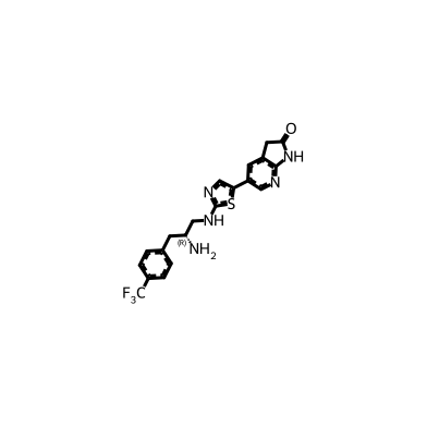 N[C@@H](CNc1ncc(-c2cnc3c(c2)CC(=O)N3)s1)Cc1ccc(C(F)(F)F)cc1